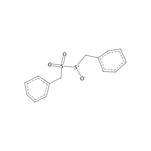 O=S(=O)(Cc1ccccc1)[S+]([O-])Cc1ccccc1